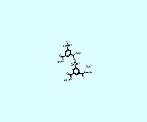 CCCOC(=O)c1cc(C(=O)OCCC)cc(S(=O)(=O)[O-])c1.CCCOC(=O)c1cc(C(=O)OCCC)cc(S(=O)(=O)[O-])c1.[Ba+2]